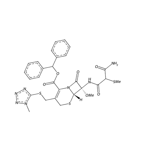 CO[C@@]1(NC(=O)C(SC)C(N)=O)C(=O)N2C(C(=O)OC(c3ccccc3)c3ccccc3)=C(CSc3nnnn3C)CS[C@H]21